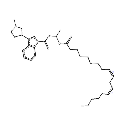 CCCCC/C=C\C/C=C\CCCCCCCC(=O)OC(C)OC(=O)n1cc(C2CCN(C)C2)c2ccccc21